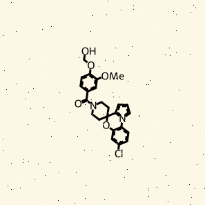 COc1cc(C(=O)N2CCC3(CC2)Oc2cc(Cl)ccc2-n2cccc23)ccc1OCO